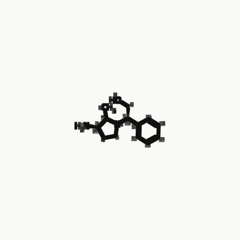 CC1[C@H](N)CCN1[C@H](CO)c1ccccc1